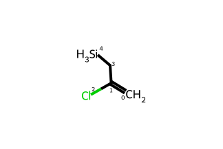 C=C(Cl)C[SiH3]